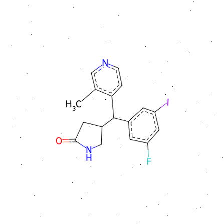 Cc1cnccc1C(c1cc(F)cc(I)c1)C1CNC(=O)C1